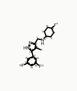 Cc1c(CNC2CCC(F)CC2)n[nH]c1-c1cc(F)cc(F)c1